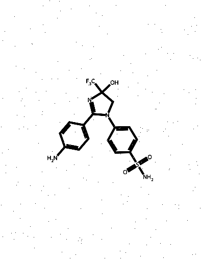 Nc1ccc(C2=NC(O)(C(F)(F)F)CN2c2ccc(S(N)(=O)=O)cc2)cc1